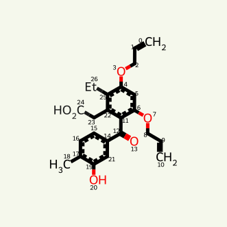 C=CCOc1cc(OCC=C)c(C(=O)c2ccc(C)c(O)c2)c(CC(=O)O)c1CC